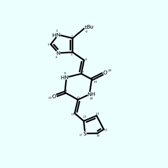 CC(C)(C)c1[nH]cnc1/C=c1\[nH]c(=O)/c(=C/c2cccs2)[nH]c1=O